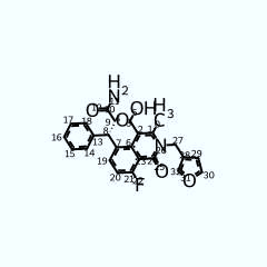 Cc1c(C(=O)O)c2c([C@@H](CC(N)=O)c3ccccc3)ccc(F)c2c(=O)n1Cc1ccoc1